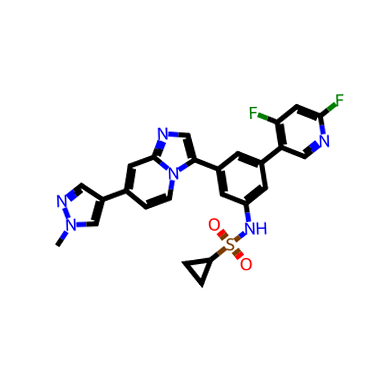 Cn1cc(-c2ccn3c(-c4cc(NS(=O)(=O)C5CC5)cc(-c5cnc(F)cc5F)c4)cnc3c2)cn1